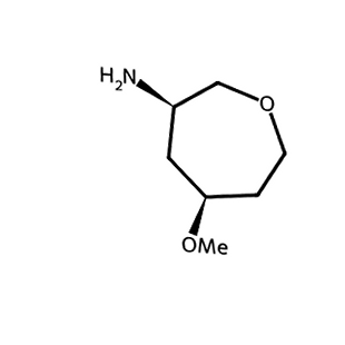 CO[C@@H]1CCOC[C@H](N)C1